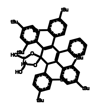 CC(C)(C)c1ccc(C2=C(c3ccc(C(C)(C)C)cc3C(C)(C)C)C(OPO)(OPO)C(c3ccc(C(C)(C)C)cc3C(C)(C)C)C(c3ccc(C(C)(C)C)cc3C(C)(C)C)=C2c2ccccc2)c(C(C)(C)C)c1